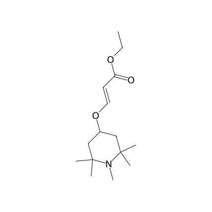 CCOC(=O)C=COC1CC(C)(C)N(C)C(C)(C)C1